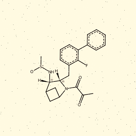 CC(=O)C(=O)N1C2CC(C2)[C@H](N[S+](C)[O-])[C@@H]1Cc1cccc(-c2ccccc2)c1F